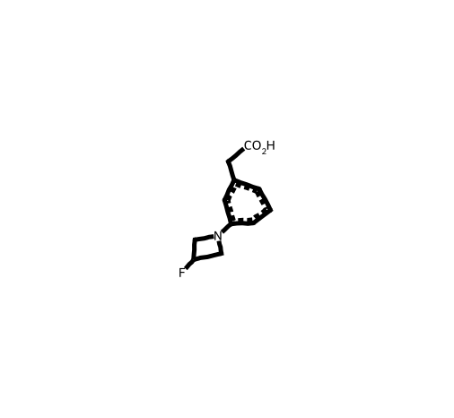 O=C(O)Cc1cccc(N2CC(F)C2)c1